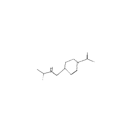 CC(C)NCC1CCN(C(C)C)CC1